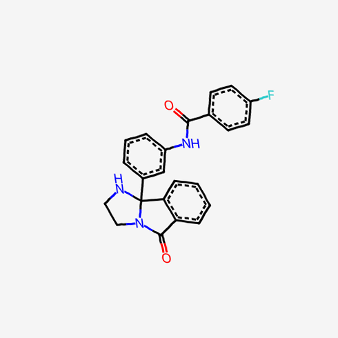 O=C(Nc1cccc(C23NCCN2C(=O)c2ccccc23)c1)c1ccc(F)cc1